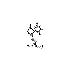 CN1CCNCC1.CN1CCNCC1.N[C@@H](CS)C(=O)O